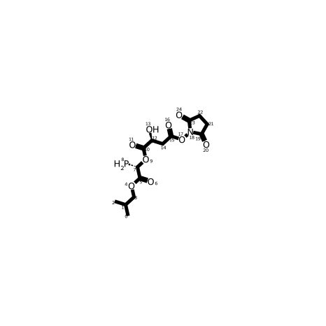 CC(C)COC(=O)[C@H](P)OC(=O)[C@@H](O)CC(=O)ON1C(=O)CCC1=O